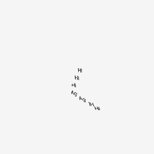 I.I.I.I.I.[Ag].[Ag]